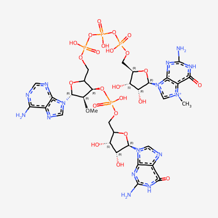 CO[C@@H]1[C@H](OP(=O)(O)OCC2O[C@@H](n3cnc4c(=O)[nH]c(N)nc43)[C@H](O)[C@@H]2O)C(COP(=O)(O)OP(=O)(O)OP(=O)(O)OC[C@H]2O[C@@H](n3c[n+](C)c4c(=O)[nH]c(N)nc43)[C@H](O)[C@@H]2O)O[C@H]1n1cnc2c(N)ncnc21